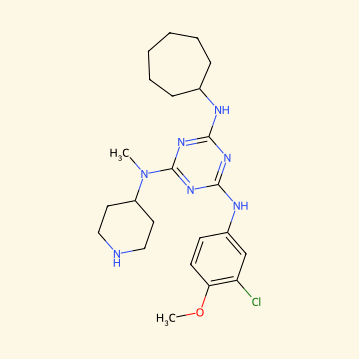 COc1ccc(Nc2nc(NC3CCCCCC3)nc(N(C)C3CCNCC3)n2)cc1Cl